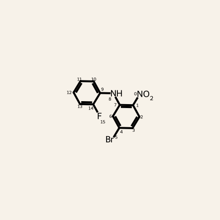 O=[N+]([O-])c1ccc(Br)cc1Nc1ccccc1F